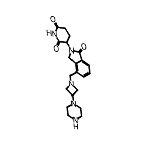 O=C1CCC(N2Cc3c(CN4CC(N5CCNCC5)C4)cccc3C2=O)C(=O)N1